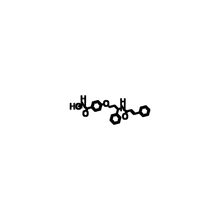 O=C(/C=C/c1ccccc1)NC(CCOc1ccc(C(=O)NO)cc1)c1ccccc1